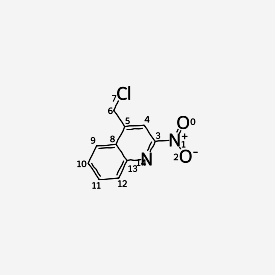 O=[N+]([O-])c1cc(CCl)c2ccccc2n1